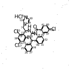 Cl.O=C(/N=C(\NC(Cn1ccnc1)c1ccc(Cl)cc1Cl)NC(c1ccccc1)c1ccccc1)c1ccc(Cl)cc1